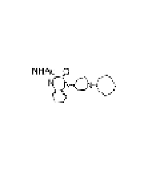 CC(=O)Nc1nc2ccccc2n(C2CCN(C3CCCCCCC3)CC2)c1=O